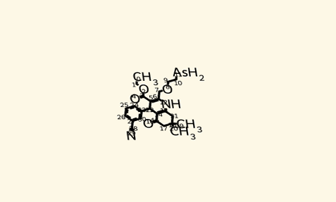 CCOC(=O)C1=C(COCC[AsH2])NC2=C(C(=O)CC(C)(C)C2)C1c1cccc(C#N)c1